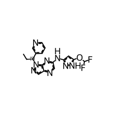 CC[C@@H](c1cccnc1)n1ncc2ncc(Nc3cc(OC(F)F)[nH]n3)nc21